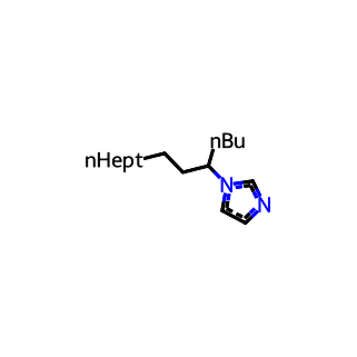 CCCCCCCCCC(CCCC)n1ccnc1